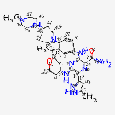 CCc1cc(Nc2nc(NC3CCOC4(CC4)C3)c(-c3cc(C)[nH]n3)nc2C(N)=O)ccc1N1CCC(N2CCN(C)CC2)CC1